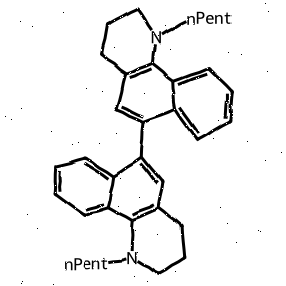 CCCCCN1CCCc2cc(-c3cc4c(c5ccccc35)N(CCCCC)CCC4)c3ccccc3c21